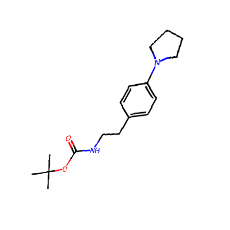 CC(C)(C)OC(=O)NCCc1ccc(N2CCCC2)cc1